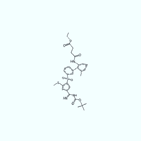 CCOC(=O)CCC(=O)Nc1cccc(C)c1-c1cccc(S(=O)(=O)c2cc(C(=N)NC(=O)OC(C)(C)C)sc2SC)c1